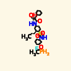 CCCc1cc(NC(=O)[C@@H](CO)c2ccccc2)ccc1S(=O)(=O)Nc1cccc(OC(C)(F)P)c1